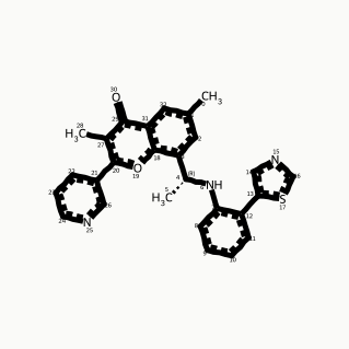 Cc1cc([C@@H](C)Nc2ccccc2-c2cncs2)c2oc(-c3cccnc3)c(C)c(=O)c2c1